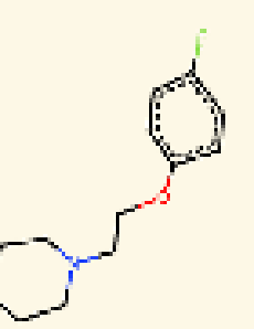 Fc1ccc(OCCN2CCCCC2)cc1